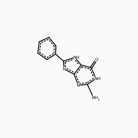 Nc1nc2nc(-c3ccccc3)[nH]c2c(=O)[nH]1